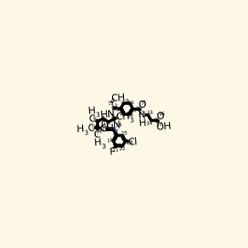 CC[C@@H](NC(C)(CCC(C)C(C)(C)C)/N=C(\C=O)c1cc(F)cc(Cl)c1)C1=CC=C(C(=O)NCCC(=O)O)CC1